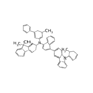 CC1C=C(N(c2ccc(-c3ccc4c(c3)c3ccccc3n4C3=CC=CCC3C)c3ccccc23)C2C=C3C(=CC2)c2ccccc2C3(C)C)C=C(c2ccccc2)C1